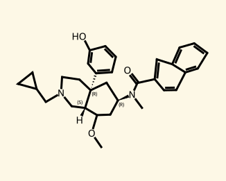 COC1C[C@H](N(C)C(=O)c2ccc3ccccc3c2)C[C@]2(c3cccc(O)c3)CCN(CC3CC3)C[C@@H]12